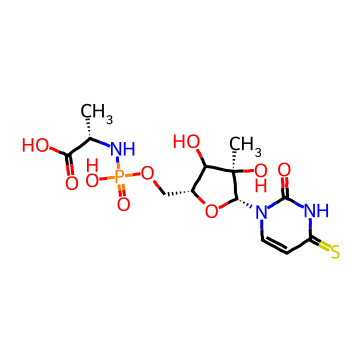 C[C@H](NP(=O)(O)OC[C@H]1O[C@@H](n2ccc(=S)[nH]c2=O)[C@](C)(O)C1O)C(=O)O